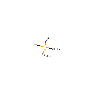 CCCCCC[PH](CC)(CCC)CCCCC